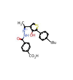 C/C(=N/NC(=O)c1ccc(C(=O)O)cc1)c1csc(-c2ccc(C(C)(C)C)cc2)c1O